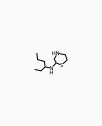 CCCC(CC)N[C]1CNCCS1